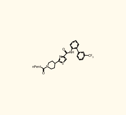 CCCCCC(=O)N1CCC(c2nc(C(=O)Nc3ccccc3-c3cccc(C(F)(F)F)c3)cs2)CC1